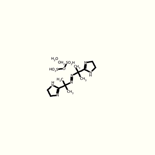 CC(C)(N=NC(C)(C)C1=NCCN1)C1=NCCN1.O.O.O=S(=O)(O)OS(=O)(=O)O